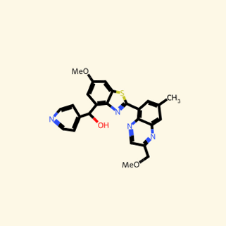 COCc1cnc2c(-c3nc4c(C(O)c5ccncc5)cc(OC)cc4s3)cc(C)cc2n1